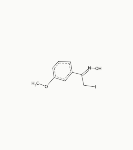 COc1cccc(C(CI)=NO)c1